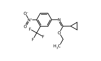 CCOC(=Nc1ccc([N+](=O)[O-])c(C(F)(F)F)c1)C1CC1